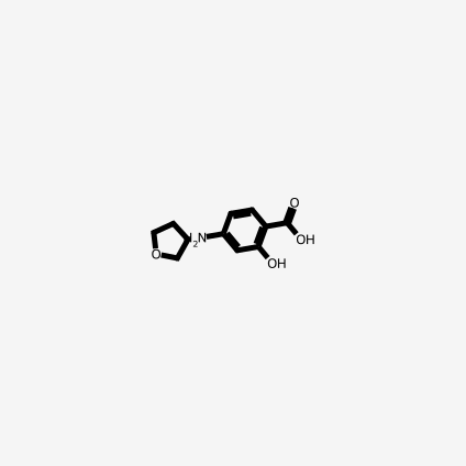 C1CCOC1.Nc1ccc(C(=O)O)c(O)c1